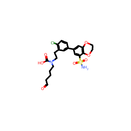 NS(=O)(=O)c1cc(-c2ccc(Cl)c(CCN(CCCCC=O)C(=O)O)c2)cc2c1OCCO2